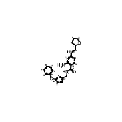 Nc1nc(NCC2CCCO2)ccc1C(=O)NCc1ccc(Oc2ccccc2)s1